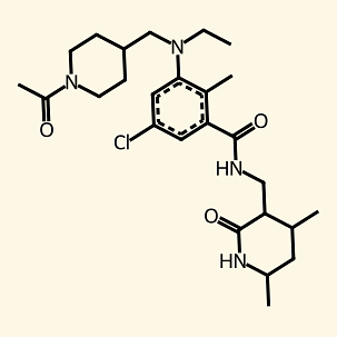 CCN(CC1CCN(C(C)=O)CC1)c1cc(Cl)cc(C(=O)NCC2C(=O)NC(C)CC2C)c1C